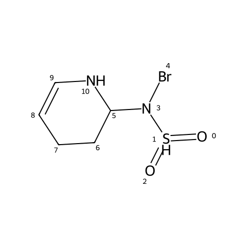 O=[SH](=O)N(Br)C1CCC=CN1